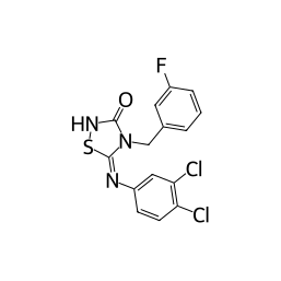 O=c1[nH]s/c(=N/c2ccc(Cl)c(Cl)c2)n1Cc1cccc(F)c1